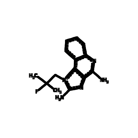 CC(C)(F)Cn1c(N)nc2c(N)nc3ccccc3c21